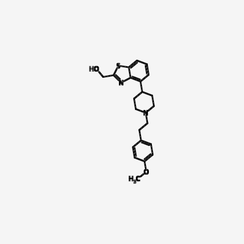 COc1ccc(CCN2CCC(c3cccc4sc(CO)nc34)CC2)cc1